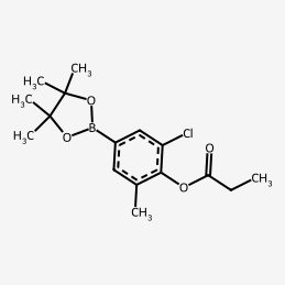 CCC(=O)Oc1c(C)cc(B2OC(C)(C)C(C)(C)O2)cc1Cl